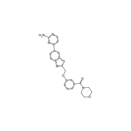 Nc1nccc(-c2ccc3nc(COc4cccc(C(=O)N5CCOCC5)c4)sc3c2)n1